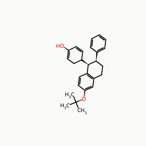 CC(C)(C)Oc1ccc2c(c1)CC[C@H](c1ccccc1)[C@@H]2C1C=CC(O)=CC1